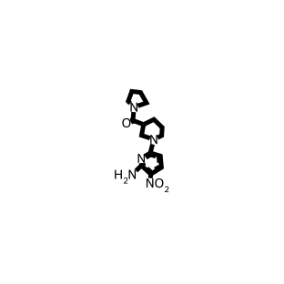 Nc1nc(N2CCCC(C(=O)N3CCCC3)C2)ccc1[N+](=O)[O-]